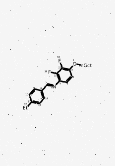 CCCCCCCCOc1ccc(N=Cc2ccc(CC)cc2)c(F)c1F